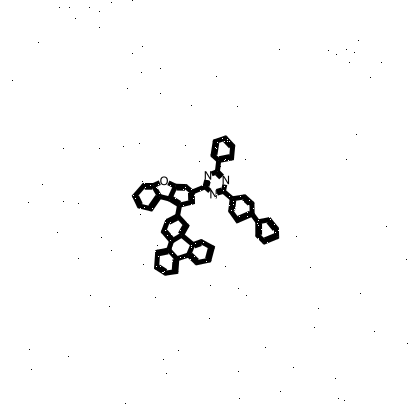 c1ccc(-c2ccc(-c3nc(-c4ccccc4)nc(-c4cc(-c5ccc6c7ccccc7c7ccccc7c6c5)c5c(c4)oc4ccccc45)n3)cc2)cc1